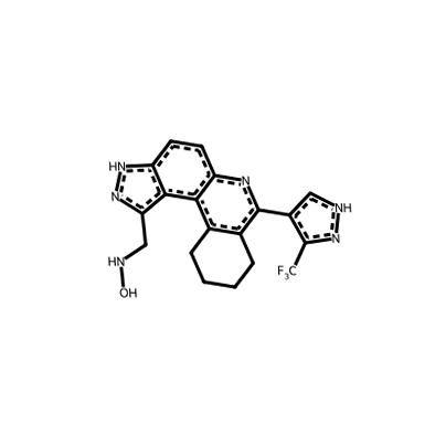 ONCc1n[nH]c2ccc3nc(-c4c[nH]nc4C(F)(F)F)c4c(c3c12)CCCC4